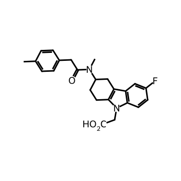 Cc1ccc(CC(=O)N(C)C2CCc3c(c4cc(F)ccc4n3CC(=O)O)C2)cc1